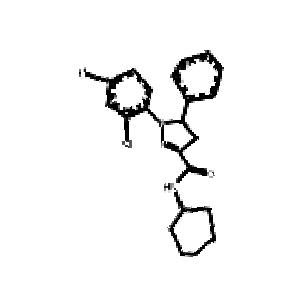 O=C(NC1CCCCC1)C1=NN(c2ccc(Cl)cc2Cl)C(c2ccccc2)C1